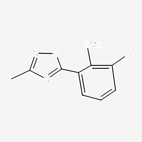 COc1c(Cl)cccc1-c1nc(C)no1